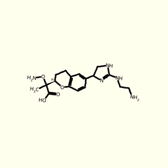 CC(ON)(C(=O)O)[C@H]1CCc2cc(C3CNC(NCCN)=N3)ccc2O1